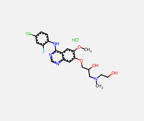 COc1cc2c(Nc3ccc(Cl)cc3F)ncnc2cc1OCC(O)CN(C)CCO.Cl